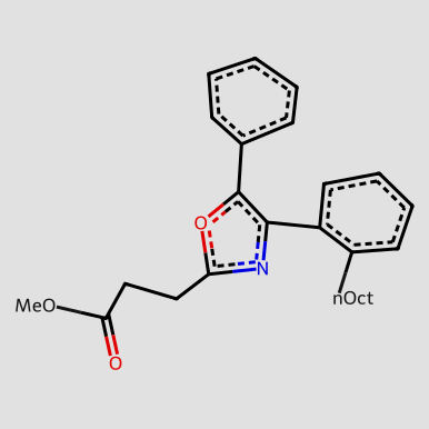 CCCCCCCCc1ccccc1-c1nc(CCC(=O)OC)oc1-c1ccccc1